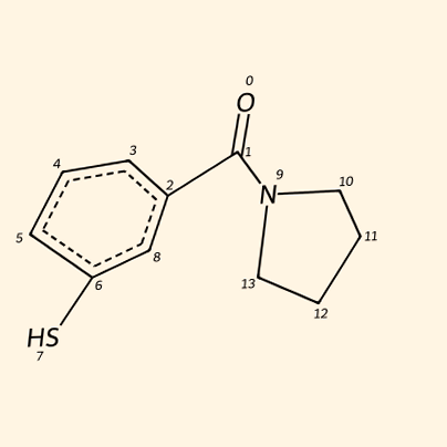 O=C(c1cccc(S)c1)N1CCCC1